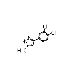 CC1=CC(c2ccc(Cl)c(Cl)c2)=N[N]1